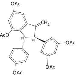 C=C1c2cc(OC(C)=O)cc(OC(C)=O)c2[C@@H](c2ccc(OC(C)=O)cc2)[C@@H]1c1cc(OC(C)=O)cc(OC(C)=O)c1